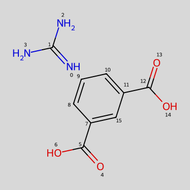 N=C(N)N.O=C(O)c1cccc(C(=O)O)c1